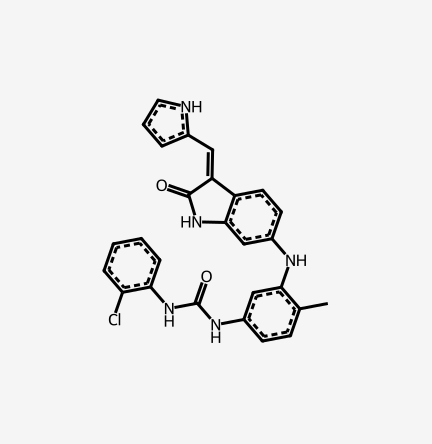 Cc1ccc(NC(=O)Nc2ccccc2Cl)cc1Nc1ccc2c(c1)NC(=O)C2=Cc1ccc[nH]1